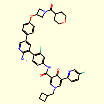 Nc1ncc(-c2ccc(OC3CN(C(=O)C4CCOCC4)C3)cc2)cc1-c1ccc(NC(=O)c2cn(CC3CCC3)cc(-c3ccc(F)cn3)c2=O)cc1F